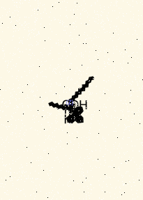 CCCCCCCCCCCCC/C=C\[C@@H](O)[C@H](COC(c1ccccc1)(c1ccccc1)c1ccccc1)NC(=O)CCCCCCC